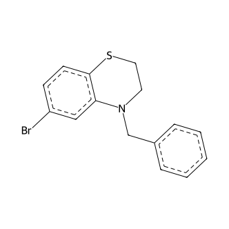 Brc1ccc2c(c1)N(Cc1ccccc1)CCS2